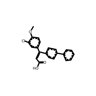 COc1ccc(C(=CC(=O)O)c2ccc(-c3ccccc3)cc2)cc1Cl